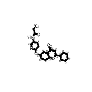 O=C(CCl)Nc1ccc(Oc2ccc3oc(-c4ccccc4)cc(=O)c3c2)nc1